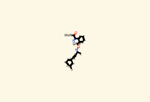 CNC(=O)/C(=N/OC)c1ccccc1CO/N=C(\C)C#Cc1cccc(C)c1